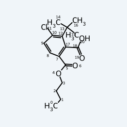 CCCCOC(=O)c1ccc(Cl)c(C(C)(C)C)c1C(=O)O